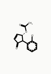 CC(=O)O[C@H]1C=CC(=O)C1c1ccccc1Cl